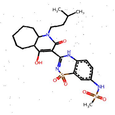 CC(C)CCN1C(=O)C(C2=NS(=O)(=O)c3cc(NS(C)(=O)=O)ccc3N2)=C(O)C2CCCCCC21